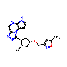 CC[C@@H]1C[C@@H](OCc2cc(C)on2)C[C@@H]1c1nnc2cnc3[nH]ccc3n12